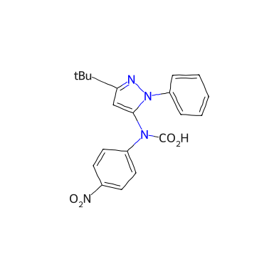 CC(C)(C)c1cc(N(C(=O)O)c2ccc([N+](=O)[O-])cc2)n(-c2ccccc2)n1